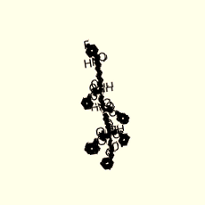 O=C(CC[C@H](NC(=O)CCCCCNC(=O)c1ccc(F)cc1)C(=O)OCc1ccccc1)N[C@@H](CCCOCN(POCc1ccccc1)[C@@H](CCC(=O)OCc1ccccc1)C(=O)OCc1ccccc1)C(=O)OCc1ccccc1